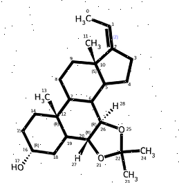 C/C=C1/CCC2C3C(CC[C@]12C)[C@@]1(C)CC[C@@H](O)CC1[C@H]1OC(C)(C)O[C@H]31